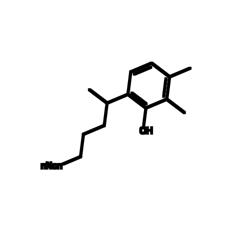 CCCCCCCCCCCCC(C)c1ccc(C)c(C)c1O